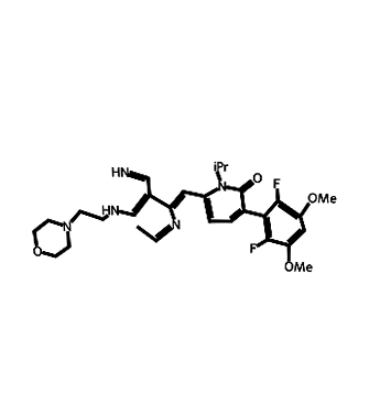 C\C=N/C(=C\c1ccc(-c2c(F)c(OC)cc(OC)c2F)c(=O)n1C(C)C)C(/C=N)=C/NCCN1CCOCC1